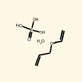 C=CCOC=C.O.O=P(O)(O)O